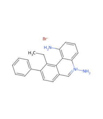 CCc1c(-c2ccccc2)ccc2c[n+](N)c3cccc(N)c3c12.[Br-]